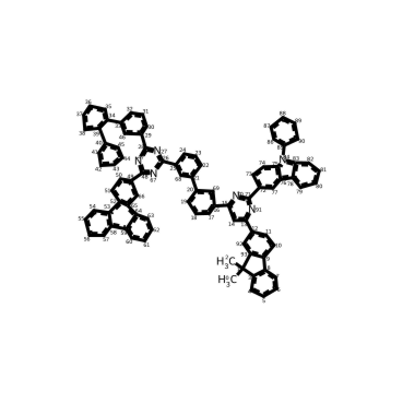 CC1(C)c2ccccc2-c2ccc(-c3cc(-c4cccc(-c5cccc(-c6nc(-c7cccc(-c8ccccc8-c8ccccc8)c7)nc(-c7ccc8c9ccccc9c9ccccc9c8c7)n6)c5)c4)nc(-c4ccc5c(c4)c4ccccc4n5-c4ccccc4)n3)cc21